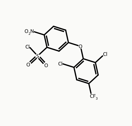 O=[N+]([O-])c1ccc(Oc2c(Cl)cc(C(F)(F)F)cc2Cl)cc1S(=O)(=O)Cl